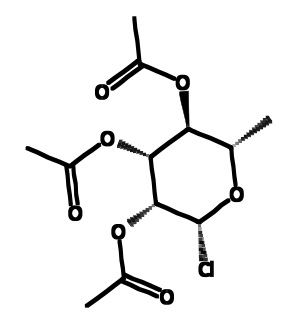 CC(=O)O[C@@H]1[C@@H](OC(C)=O)[C@H](C)O[C@H](Cl)[C@@H]1OC(C)=O